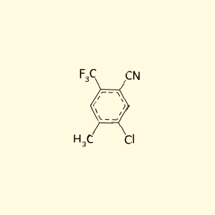 Cc1cc(C(F)(F)F)c(C#N)cc1Cl